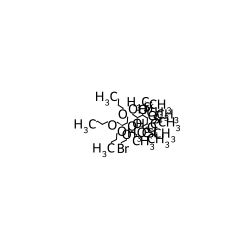 CCCCOCC(O[C@H](OCCBr)[C@@H](C)O[C@H]1OC(CO)[C@@H](O[Si](C)(C)C)C(O[Si](C)(C)C)[C@H]1O[Si](C)(C)C)[C@H](COCCCC)OCCCC